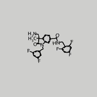 CC1(CN)C(=O)N(Cc2cc(F)cc(F)c2)c2cc(C(=O)NCc3c(F)cc(F)cc3F)ccc21